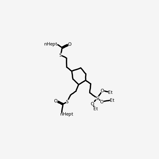 CCCCCCCC(=O)SCCC1CCC(CC[Si](OCC)(OCC)OCC)C(CCSC(=O)CCCCCCC)C1